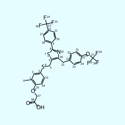 Cc1cc(SCc2sc(-c3ccc(C(F)(F)F)cc3)nc2Cc2ccc(OC(F)(F)F)cc2)ccc1OCC(=O)O